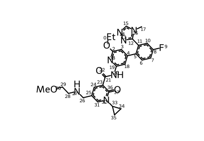 CCOc1cc(-c2ccc(F)cc2-c2nncn2C)cc(NC(=O)c2cc(CNCCOC)cn(C3CC3)c2=O)n1